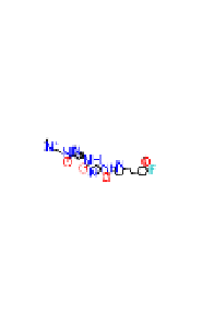 CC[N+](C)(C)CCCNC(=O)c1cc(NC(=O)c2cc(NC(=O)c3ccc(C=Cc4ccc(F)c(OC)c4)nc3)cn2C)cn1C